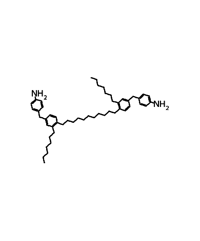 CCCCCCCc1cc(Cc2ccc(N)cc2)ccc1CCCCCCCCCCCc1ccc(Cc2ccc(N)cc2)cc1CCCCCCC